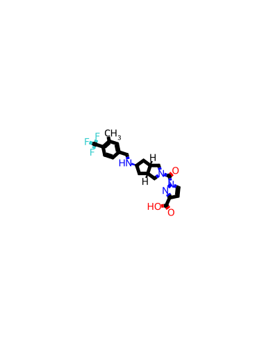 Cc1cc(CN[C@H]2C[C@@H]3CN(C(=O)n4ccc(C(=O)O)n4)C[C@@H]3C2)ccc1C(F)(F)F